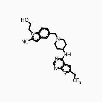 N#Cc1cc2cc(CN3CCC(Nc4ncnc5sc(CC(F)(F)F)cc45)CC3)ccc2n1CCO